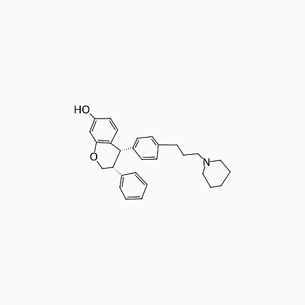 Oc1ccc2c(c1)OC[C@@H](c1ccccc1)[C@H]2c1ccc(CCCN2CCCCC2)cc1